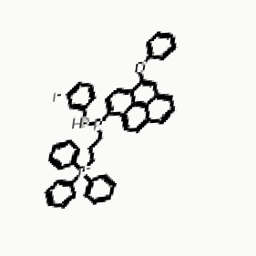 [I-].c1ccc(Oc2cc3cccc4ccc5c(P(CCC[P+](c6ccccc6)(c6ccccc6)c6ccccc6)Pc6ccccc6)ccc2c5c43)cc1